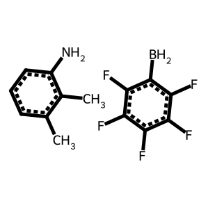 Bc1c(F)c(F)c(F)c(F)c1F.Cc1cccc(N)c1C